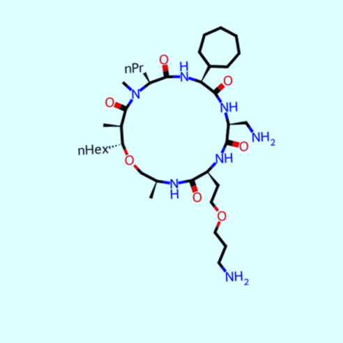 CCCCCC[C@H]1OC[C@H](C)NC(=O)[C@H](CCOCCCN)NC(=O)[C@H](CN)NC(=O)[C@H](C2CCCCCC2)NC(=O)[C@H](CCC)N(C)C(=O)[C@@H]1C